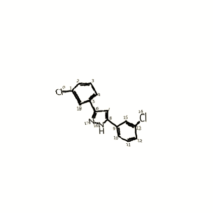 Clc1cccc(-c2cc(-c3cccc(Cl)c3)[nH]n2)c1